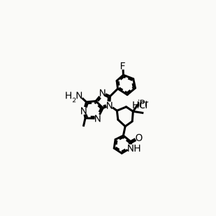 Cc1nc(N)c2nc(-c3cccc(F)c3)n(C3CC(c4ccc[nH]c4=O)CC(C)(C(C)C)C3)c2n1.Cl